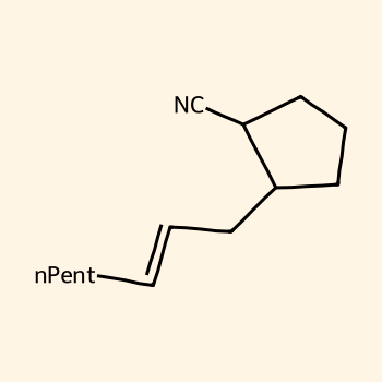 CCCCC/C=C/CC1CCCC1C#N